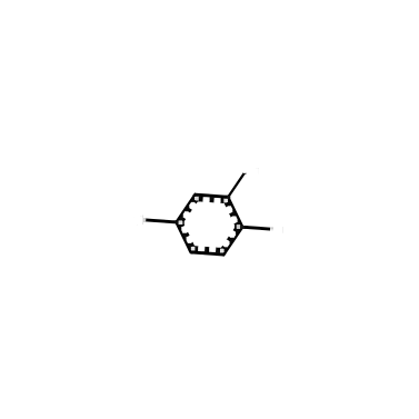 CCc1ccc(Cl)cc1[C](C)C